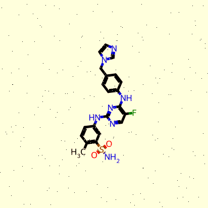 Cc1ccc(Nc2ncc(F)c(Nc3ccc(Cn4ccnc4)cc3)n2)cc1S(N)(=O)=O